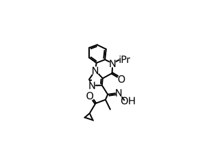 CC(C(=O)C1CC1)C(=NO)c1ncn2c1c(=O)n(C(C)C)c1ccccc12